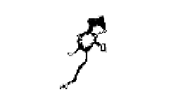 OCCCc1c(Cl)nc2ccnn2c1Cl